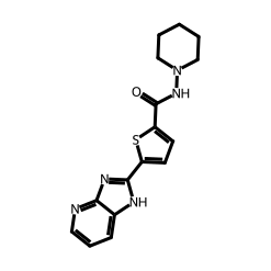 O=C(NN1CCCCC1)c1ccc(-c2nc3ncccc3[nH]2)s1